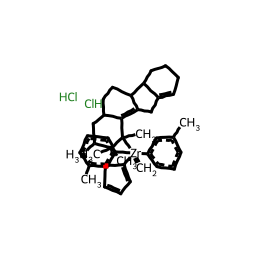 Cl.Cl.[CH2]=[Zr]([C]1=CC=CC1)([c]1cccc(C)c1)([c]1cccc(C)c1)[C]1(C)C2=C3CC4=CCCCC4C3CCC2CC(C)C1(C)C